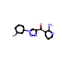 CC(C)c1cccc(-n2cc(C(=O)c3cccnc3N)nn2)c1